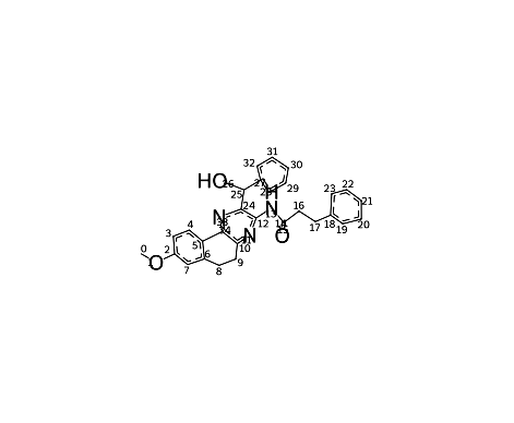 COc1ccc2c(c1)CCc1nc(NC(=O)CCc3ccccc3)c(C(O)c3ccccc3)nc1-2